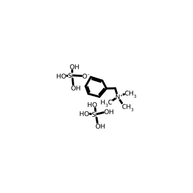 C[N+](C)(C)Cc1ccccc1.O[Si](O)(O)O.[O-][Si](O)(O)O